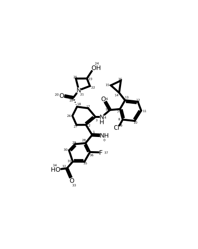 N=C(C1=C(NC(=O)c2c(Cl)cccc2C2CC2)C[C@@H](C(=O)N2CC(O)C2)CC1)c1ccc(C(=O)O)cc1F